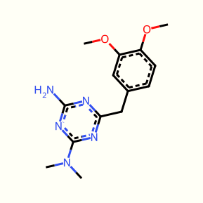 COc1ccc(Cc2nc(N)nc(N(C)C)n2)cc1OC